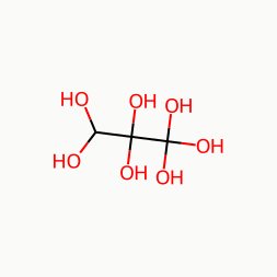 OC(O)C(O)(O)C(O)(O)O